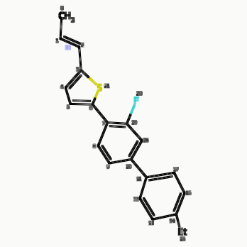 C/C=C/c1ccc(-c2ccc(-c3ccc(CC)cc3)cc2F)s1